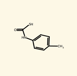 Cc1ccc(NC(=O)S)cc1